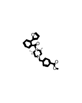 COC(=O)c1ccc(CN2C[C@@H](C)N(C(=O)c3ccccc3-c3ccco3)[C@@H](C)C2)cc1